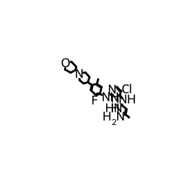 C/C(N)=C/C(=N)NC1NC(Nc2cc(C)c(C3CCN(C4CCOCC4)CC3)cc2F)=NC=C1Cl